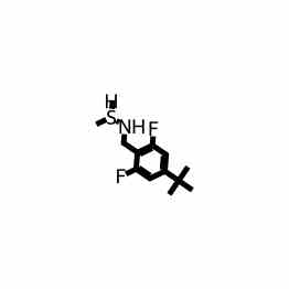 C[SH](C)NCc1c(F)cc(C(C)(C)C)cc1F